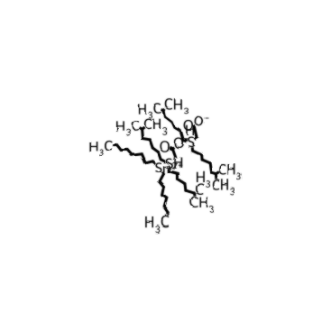 CC(C)CCCCC[SH](CCCCCC(C)C)CC(=O)[O-].CC(C)CCCCC[SH](CCCCCC(C)C)CC(=O)[O-].CCCCCCC[CH2][Sn+2][CH2]CCCCCCC